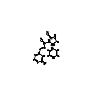 O=C(C=Cc1cccc(F)c1)N1C(=O)OC[C@@H]1c1ccccc1